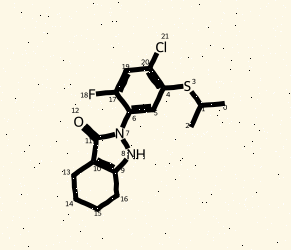 CC(C)Sc1cc(-n2[nH]c3c(c2=O)CCCC3)c(F)cc1Cl